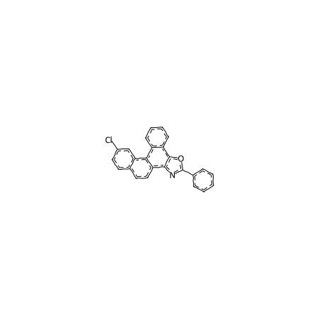 Clc1ccc2ccc3c4nc(-c5ccccc5)oc4c4ccccc4c3c2c1